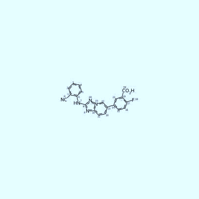 N#Cc1ccccc1Nc1nc2ccc(-c3ccc(F)c(C(=O)O)c3)cn2n1